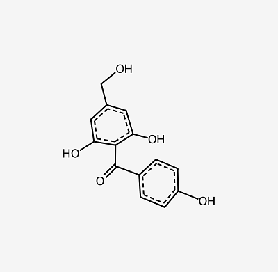 O=C(c1ccc(O)cc1)c1c(O)cc(CO)cc1O